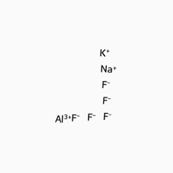 [Al+3].[F-].[F-].[F-].[F-].[F-].[K+].[Na+]